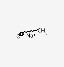 CCCCCCCCCCc1ccc([O-])cc1.[Na+]